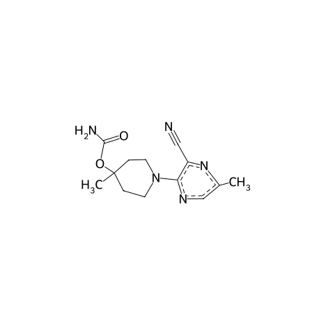 Cc1cnc(N2CCC(C)(OC(N)=O)CC2)c(C#N)n1